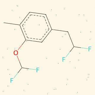 Cc1ccc(CC(F)F)cc1OC(F)F